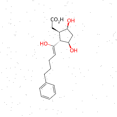 O=C(O)C[C@@H]1[C@@H](C(O)=CCCCc2ccccc2)[C@H](O)C[C@@H]1O